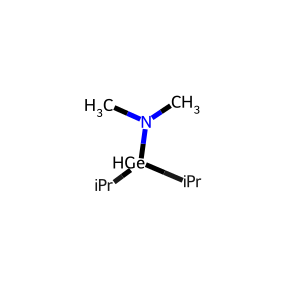 C[CH](C)[GeH]([CH](C)C)[N](C)C